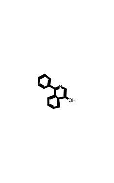 Oc1cnc(-c2ccccc2)c2ccccc12